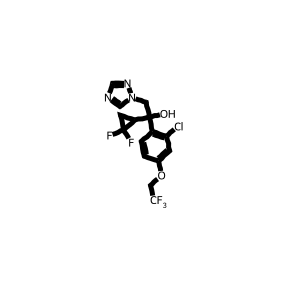 OC(Cn1cncn1)(c1ccc(OCC(F)(F)F)cc1Cl)C1CC1(F)F